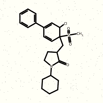 CS(=O)(=O)C1(CC2CCN(C3CCCCC3)C2=O)C=CC(c2ccccc2)=CC1Cl